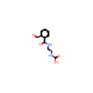 O=Cc1ccccc1C(=O)NCCNC(=O)O